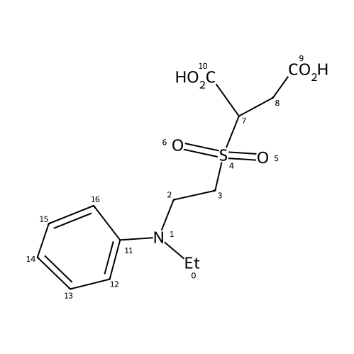 CCN(CCS(=O)(=O)C(CC(=O)O)C(=O)O)c1ccccc1